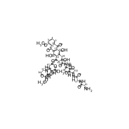 COc1cccc2c1C(=O)c1c(O)c3c(c(O)c1C2=O)C[C@@](O)(C(=O)N[C@H]1CO[C@H]2[C@@H]1OC[C@@H]2NC(=O)CNC(=O)CN)C[C@@H]3O[C@H]1C[C@H]2[C@H](O[C@@H]3[C@@H](OC)OCCN32)[C@H](C)O1